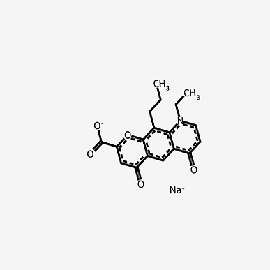 CCCc1c2oc(C(=O)[O-])cc(=O)c2cc2c(=O)ccn(CC)c12.[Na+]